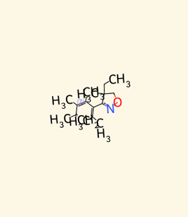 C=C(C)/C(C)=C(/C)C(C1=NOCC1(C)CC)=C(C)C